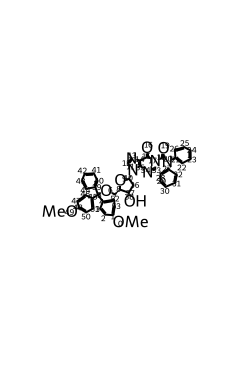 COc1ccc(C(OC[C@H]2O[C@@H](n3cnc4c(=O)n(C(=O)N(c5ccccc5)c5ccccc5)cnc43)C[C@H]2O)(c2ccccc2)c2ccc(OC)cc2)cc1